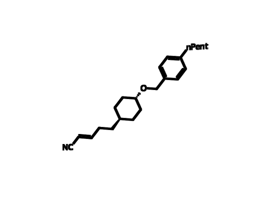 CCCCCc1ccc(CO[C@H]2CC[C@H](CC/C=C/C#N)CC2)cc1